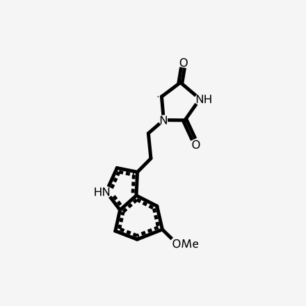 COc1ccc2[nH]cc(CCN3[CH]C(=O)NC3=O)c2c1